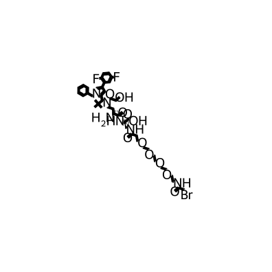 CC(C)(C)C(c1cc(-c2cc(F)ccc2F)cn1Cc1ccccc1)N(CC[C@H](N)C(=O)N[C@H](CNC(=O)CCOCCOCCOCCOCCNC(=O)CBr)C(=O)O)C(=O)CO